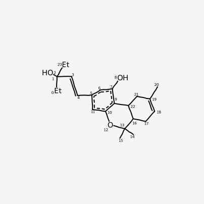 CCC(O)(C=Cc1cc(O)c2c(c1)OC(C)(C)C1CC=C(C)CC21)CC